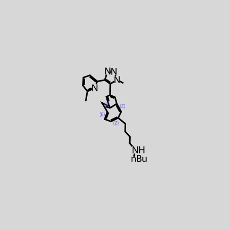 CCCCNCCCCC1=C/C=C/C=c2\ccc(-c3c(-c4cccc(C)n4)nnn3C)c\c2=C\1